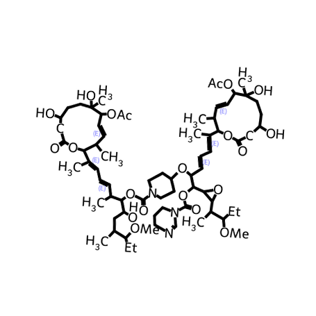 CCC(OC)C(C)CC(O)C(OC(=O)N1CCC(OC(/C=C/C=C(\C)C2OC(=O)CC(O)CCC(C)(O)C(OC(C)=O)/C=C/C2C)C(OC(=O)N2C=NCCC2)C2OC2C(C)C(CC)OC)CC1)C(C)/C=C/C=C(\C)C1OC(=O)CC(O)CCC(C)(O)C(OC(C)=O)/C=C/C1C